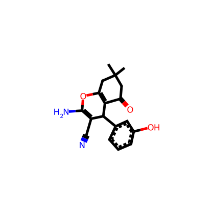 CC1(C)CC(=O)C2=C(C1)OC(N)=C(C#N)C2c1cccc(O)c1